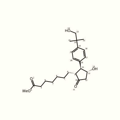 COC(=O)CCCCCC[C@H]1C(=O)C[C@@H](O)[C@@H]1c1ccc(C(C)(C)CO)cc1